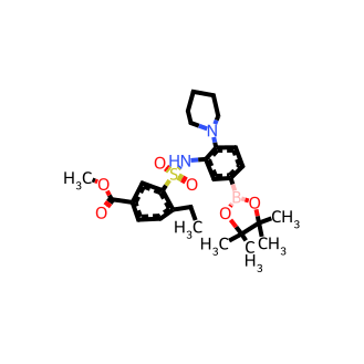 CCc1ccc(C(=O)OC)cc1S(=O)(=O)Nc1cc(B2OC(C)(C)C(C)(C)O2)ccc1N1CCCCC1